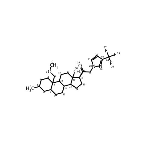 COCC12CCC(C)CC1CCC1C3CCC(C(=O)Cn4ccc(C(F)(F)F)n4)C3(C)CCC12